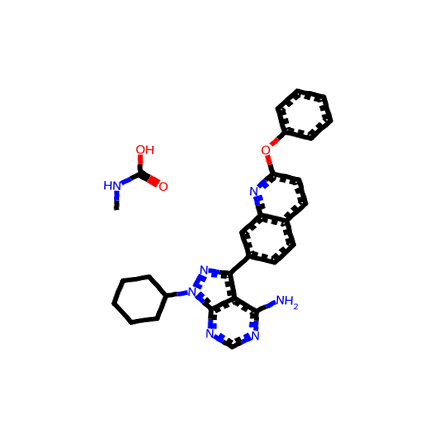 CNC(=O)O.Nc1ncnc2c1c(-c1ccc3ccc(Oc4ccccc4)nc3c1)nn2C1CCCCC1